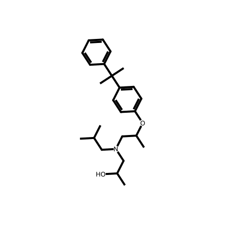 CC(C)CN(CC(C)O)CC(C)Oc1ccc(C(C)(C)c2ccccc2)cc1